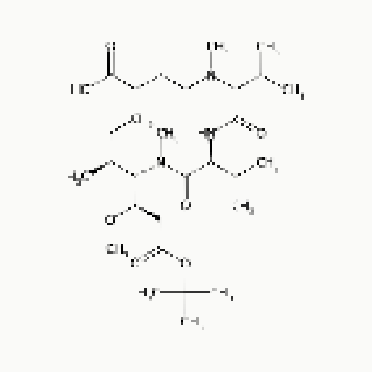 CC[C@H](C)[C@@H]([C@@H](CC(=O)OC(C)(C)C)OC)N(C)C(=O)[C@@H](NC(=O)C(C(C)C)N(C)CCCC(=O)O)C(C)C